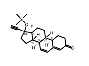 C#C[C@]1(O[Si](C)(C)C)CC[C@H]2[C@@H]3C=CC4=CC(=O)CC[C@@H]4[C@H]3CC[C@@]21C